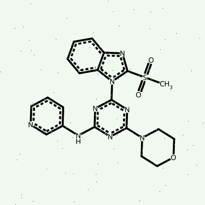 CS(=O)(=O)c1nc2ccccc2n1-c1nc(Nc2cccnc2)nc(N2CCOCC2)n1